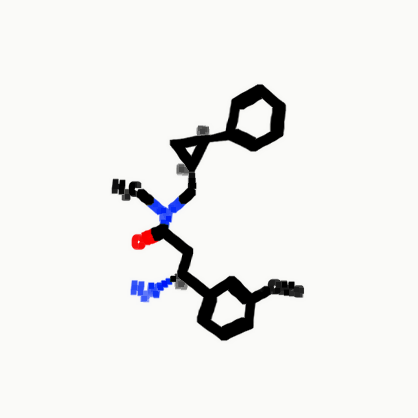 COc1cccc([C@H](N)CC(=O)N(C)C[C@@H]2C[C@H]2c2ccccc2)c1